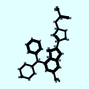 Cc1cc(N(c2ccccc2)C2CCOCC2)c2[nH]c(C3=NC(CC(=O)O)CS3)cc2c1